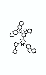 CC12C=CC=CC1=Cc1c(c3cc4ccccc4cc3n1-c1cc(-c3nc(-c4cccc(-c5ccccc5)c4)nc(-c4ccc5c(ccc6ccccc65)c4)n3)cc3c1oc1ccccc13)C2